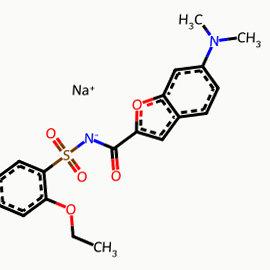 CCOc1ccccc1S(=O)(=O)[N-]C(=O)c1cc2ccc(N(C)C)cc2o1.[Na+]